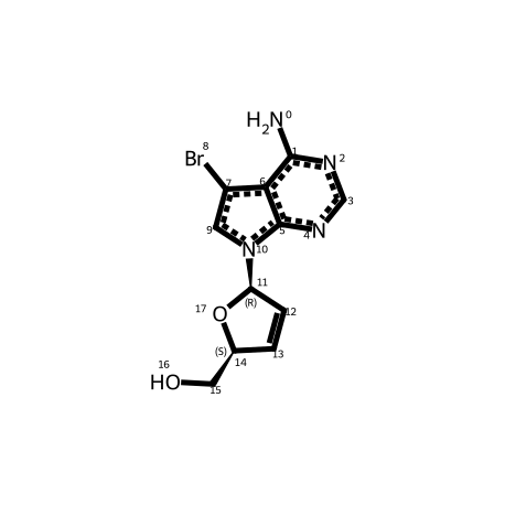 Nc1ncnc2c1c(Br)cn2[C@H]1C=C[C@@H](CO)O1